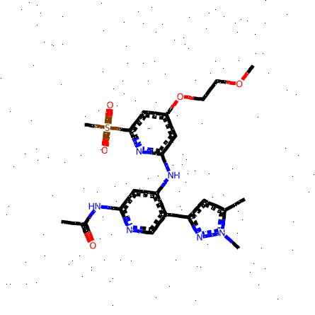 COCCOc1cc(Nc2cc(NC(C)=O)ncc2-c2cc(C)n(C)n2)nc(S(C)(=O)=O)c1